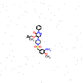 COc1ccc(CS(=O)(=O)N2CCN(c3cnn(-c4ccccc4)c(=O)c3OCC3(C)CC3)CC2)cc1N